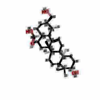 C[C@@H]1C2C3=CCC4[C@@]5(C)CC[C@H](O)C(C)(C)C5CC[C@@]4(C)[C@]3(C)CC[C@@]2(C(=O)O)CC[C@H]1CO